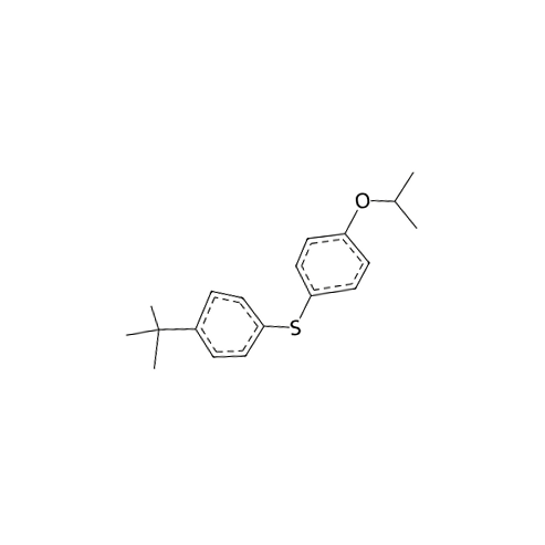 CC(C)Oc1ccc(Sc2ccc(C(C)(C)C)cc2)cc1